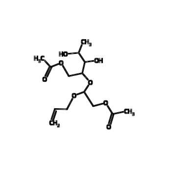 C=CCOC(COC(C)=O)OC(COC(C)=O)C(O)C(C)O